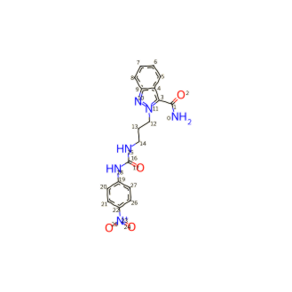 NC(=O)c1c2ccccc2nn1CCCNC(=O)Nc1ccc([N+](=O)[O-])cc1